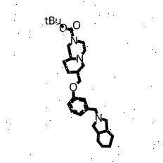 CC(C)(C)OC(=O)N1CCN2CC(COc3cccc(CN4CC5CCCCC5C4)c3)CCC2C1